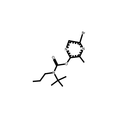 CCCN(C(=O)Oc1ncc(Br)nc1C)C(C)(C)C